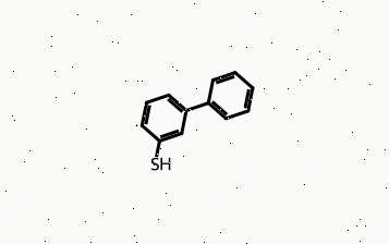 Sc1[c]ccc(-c2ccccc2)c1